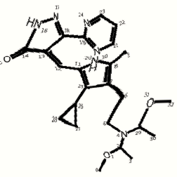 COC(C)N(CCc1c(C)[nH]c(/C=C2/C(=O)NN=C2c2ncccn2)c1C1CC1)C(C)OC